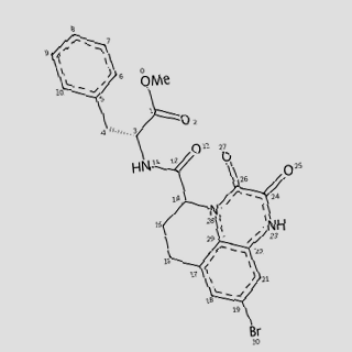 COC(=O)[C@@H](Cc1ccccc1)NC(=O)C1CCc2cc(Br)cc3[nH]c(=O)c(=O)n1c23